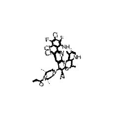 C=CC(=O)N1[C@H](C)CN(c2c(C#N)c(=O)n(C3=C(C)C=CNC3C(C)C)c3nc(-c4c(N)c(F)c(Cl)c(F)c4Cl)c(Cl)cc23)C[C@@H]1C